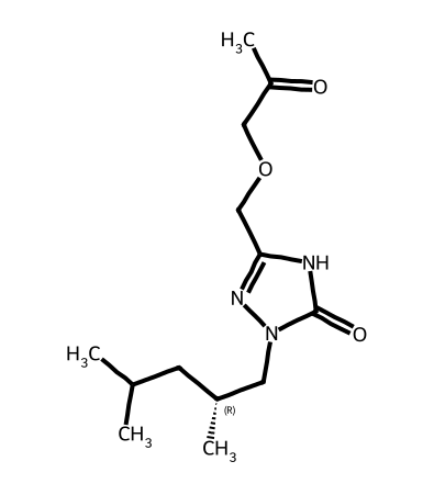 CC(=O)COCc1nn(C[C@H](C)CC(C)C)c(=O)[nH]1